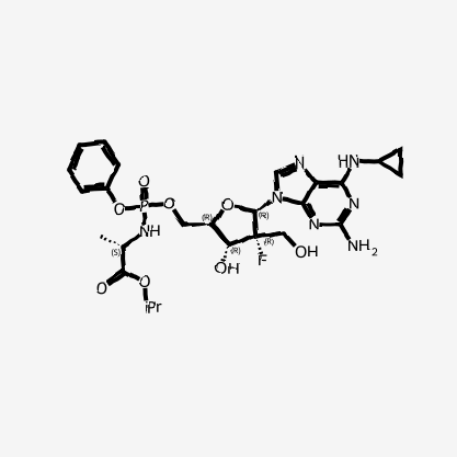 CC(C)OC(=O)[C@H](C)NP(=O)(OC[C@H]1O[C@@H](n2cnc3c(NC4CC4)nc(N)nc32)[C@@](F)(CO)[C@@H]1O)Oc1ccccc1